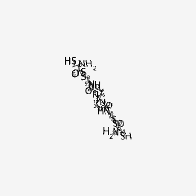 N[C@@H](CS)C(=O)SSCCNC(=O)c1cccc(-c2cccc(C(=O)NCCSSC(=O)[C@@H](N)CS)n2)n1